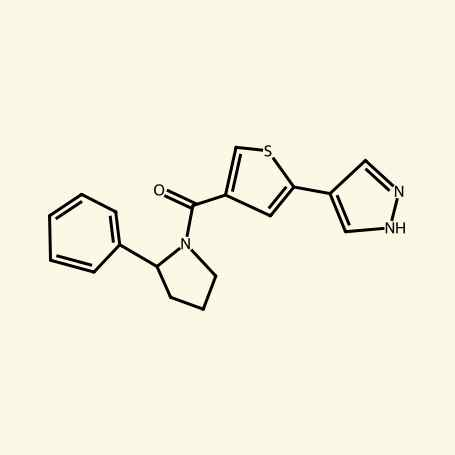 O=C(c1csc(-c2cn[nH]c2)c1)N1CCCC1c1ccccc1